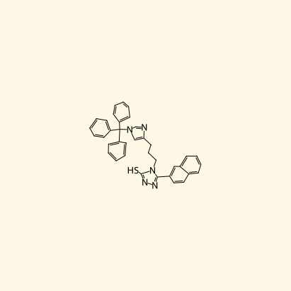 Sc1nnc(-c2ccc3ccccc3c2)n1CCCc1cn(C(c2ccccc2)(c2ccccc2)c2ccccc2)cn1